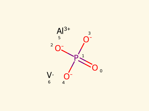 O=P([O-])([O-])[O-].[Al+3].[V]